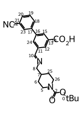 CC(C)(C)OC(=O)N1CCC(CN=Cc2cc(C(=O)O)cc(-c3cccc(C#N)c3)c2)CC1